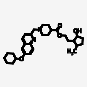 CC1CCC(O)C1CCOC(=O)C1CCN(Cc2ccc3cc(OC4CCCCC4)ccc3n2)CC1